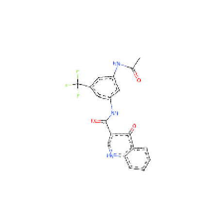 CC(=O)Nc1cc(NC(=O)c2c[nH]c3ccccc3c2=O)cc(C(F)(F)F)c1